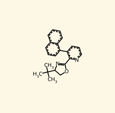 CC(C)(C)C1COC(c2ncccc2-c2cccc3ccccc23)=N1